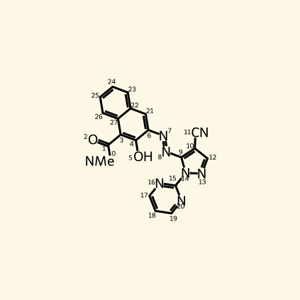 CNC(=O)c1c(O)c(/N=N/c2c(C#N)cnn2-c2ncccn2)cc2ccccc12